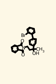 CC(O)(CCN1C(=O)c2ccccc2C1=O)c1ccc(-c2ccccc2Br)cc1